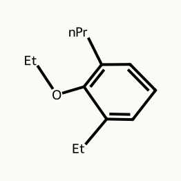 [CH2]CCc1cccc(CC)c1OCC